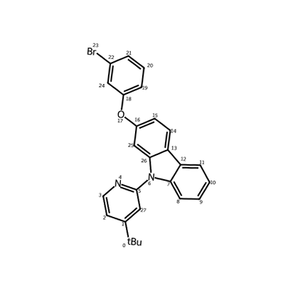 CC(C)(C)c1ccnc(-n2c3ccccc3c3ccc(Oc4cccc(Br)c4)cc32)c1